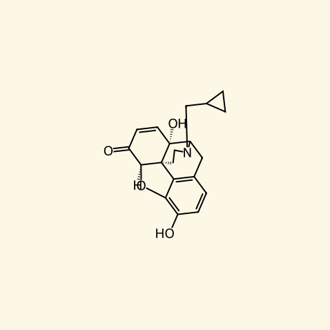 O=C1C=C[C@@]2(O)C3Cc4ccc(O)c5c4[C@@]2(CCN3CC2CC2)[C@H]1O5